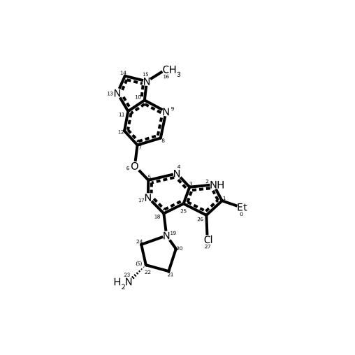 CCc1[nH]c2nc(Oc3cnc4c(c3)ncn4C)nc(N3CC[C@H](N)C3)c2c1Cl